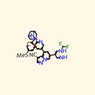 CSc1ccc(CN2C3CC2CN(c2ccc(-c4cc(/C(C=N)=C/NC(F)F)cn5ncc(C#N)c45)cn2)C3)cc1